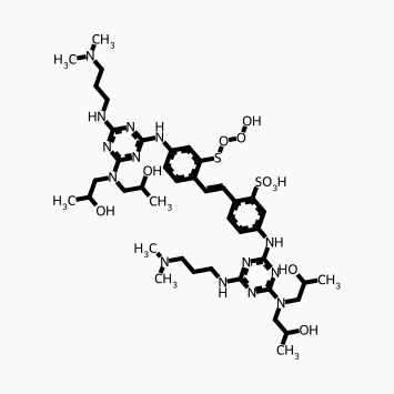 CC(O)CN(CC(C)O)c1nc(NCCCN(C)C)nc(Nc2ccc(/C=C/c3ccc(Nc4nc(NCCCN(C)C)nc(N(CC(C)O)CC(C)O)n4)cc3S(=O)(=O)O)c(SOOO)c2)n1